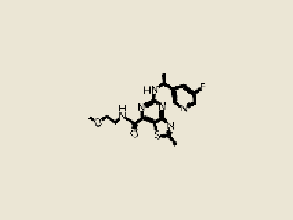 COCCNC(=O)c1nc(NC(C)c2cncc(F)c2)nc2nc(C)sc12